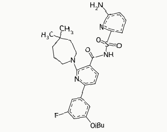 CC(C)COc1cc(F)cc(-c2ccc(C(=O)NS(=O)(=O)c3cccc(N)n3)c(N3CCCC(C)(C)CC3)n2)c1